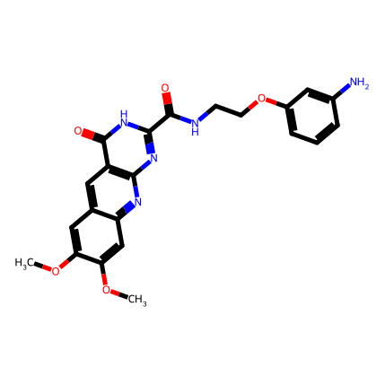 COc1cc2cc3c(=O)[nH]c(C(=O)NCCOc4cccc(N)c4)nc3nc2cc1OC